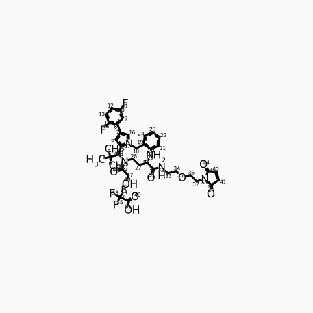 CC(C)(C)[C@H](c1cc(-c2cc(F)ccc2F)cn1Cc1ccccc1)N(CC[C@H](N)C(=O)NCCOCCN1C(=O)C=CC1=O)C(=O)CO.O=C(O)C(F)(F)F